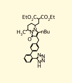 CCCCc1c(Cc2ccc(-c3ccccc3-c3nnn[nH]3)cc2)c(=O)n2n1C(CC(C(=O)OCC)C(=O)OCC)CCC2C